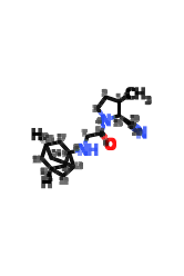 CC1CCN(C(=O)CNC23C[C@@H]4CC2C[C@@H](C4)C3)[C@@H]1C#N